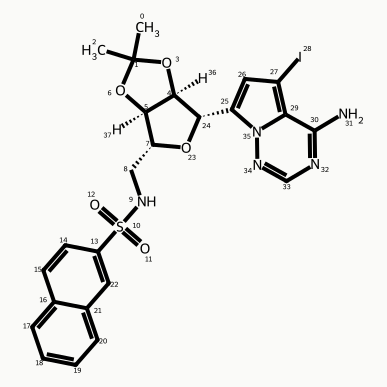 CC1(C)O[C@@H]2[C@H](O1)[C@@H](CNS(=O)(=O)c1ccc3ccccc3c1)O[C@H]2c1cc(I)c2c(N)ncnn12